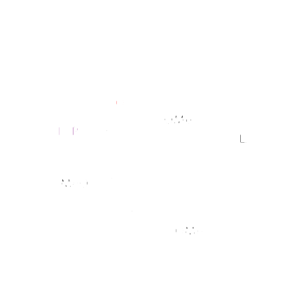 COc1cc(OC)c(C(=O)P)c(OC)c1.[Li][CH]1CCCC1